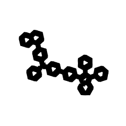 C1=CCC(c2c(-c3ccccc3)c(-c3ccc(-c4ccc(N(c5ccccc5)c5ccc(-c6cccc7ccccc67)cc5)cc4)cc3)n3ccccc23)C=C1